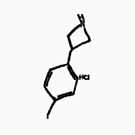 Cl.Ic1ccc(C2CNC2)cc1